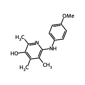 COc1ccc(Nc2nc(C)c(O)c(C)c2C)cc1